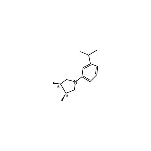 CC(C)c1cccc(N2C[C@@H](C)[C@@H](C)C2)c1